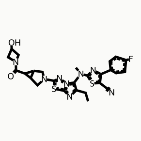 CCc1nc2sc(N3CC4C(C3)C4C(=O)N3CC(O)C3)nn2c1N(C)c1nc(-c2ccc(F)cc2)c(C#N)s1